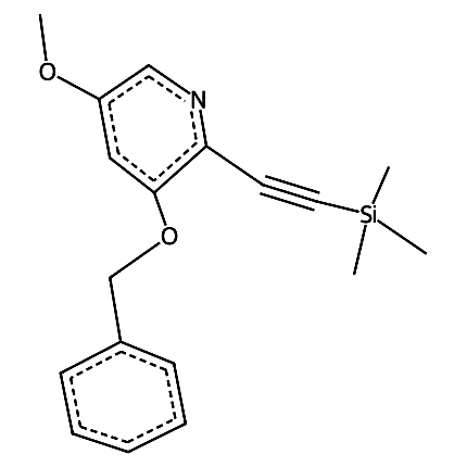 COc1cnc(C#C[Si](C)(C)C)c(OCc2ccccc2)c1